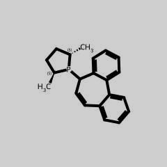 C[C@H]1CC[C@H](C)P1C1C=Cc2ccccc2-c2ccccc21